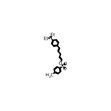 CCN(CC)c1ccc(C=CCC=COS(=O)(=O)c2ccc(C)cc2)cc1